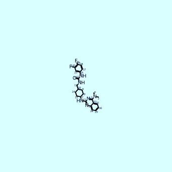 CN(C)c1nc(NC2CCC(CNC(=O)Nc3ccc(F)c(F)c3)CC2)nc2ccccc12